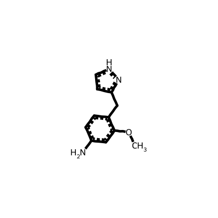 COc1cc(N)ccc1Cc1cc[nH]n1